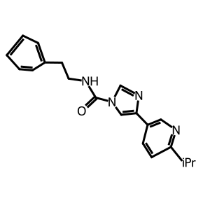 CC(C)c1ccc(-c2cn(C(=O)NCCc3ccccc3)cn2)cn1